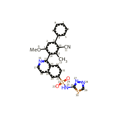 COc1cc(-c2ccccc2)c(C#N)c(C)c1-c1nccc2cc(S(=O)(=O)Nc3nncs3)ccc12